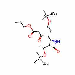 C=CCOC(=O)CC(=O)[C@H](CCO[Si](C)(C)C(C)(C)C)[C@H]1NC(=O)[C@@H]1[C@@H](C)O[Si](C)(C)C(C)(C)C